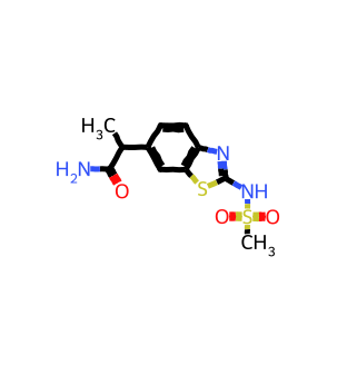 CC(C(N)=O)c1ccc2nc(NS(C)(=O)=O)sc2c1